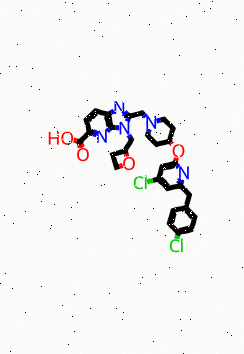 O=C(O)c1ccc2nc(CN3CCC(Oc4cc(Cl)cc(Cc5ccc(Cl)cc5)n4)CC3)n(CC3CCO3)c2n1